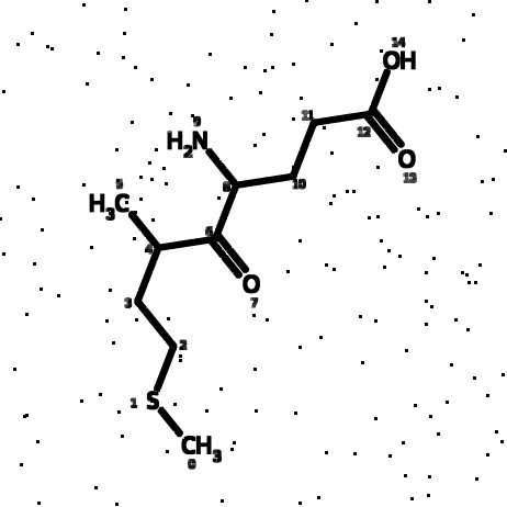 CSCCC(C)C(=O)C(N)CCC(=O)O